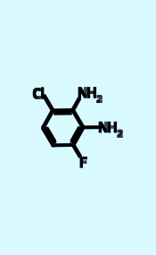 Nc1c(F)ccc(Cl)c1N